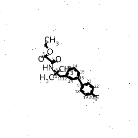 CCOC(=O)C(=O)NC(C)(C)Cc1cccc(-c2ccc(F)cc2)c1